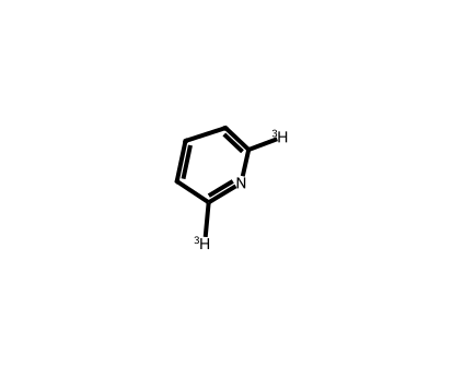 [3H]c1cccc([3H])n1